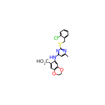 Cc1cc(Nc2cc3c(cc2C(=O)O)OCCO3)nc(SCc2ccccc2Cl)n1